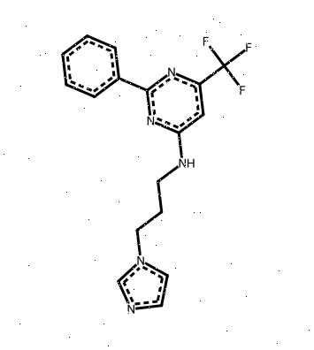 FC(F)(F)c1cc(NCCCn2ccnc2)nc(-c2ccccc2)n1